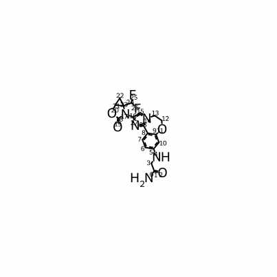 NC(=O)CNc1ccc2c(c1)OCCn1cc(N3C(=O)OC4CC43C(F)F)nc1-2